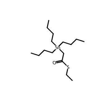 CCC[CH2][Sn]([CH2]CCC)([CH2]CCC)[CH2]C(=O)SCC